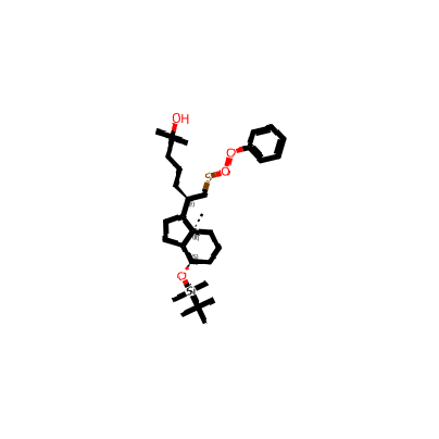 CC(C)(O)CCC[C@@H](CSOOc1ccccc1)C1CCC2[C@@H](O[Si](C)(C)C(C)(C)C)CCC[C@]12C